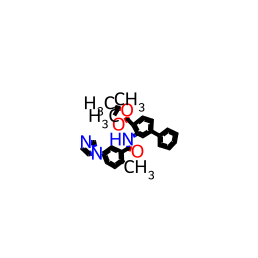 Cc1ccc(-n2ccnc2)cc1C(=O)Nc1cc(-c2ccccc2)ccc1C(=O)OC(C)(C)C